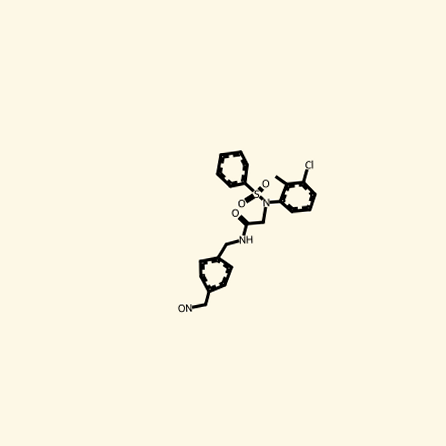 Cc1c(Cl)cccc1N(CC(=O)NCc1ccc(CN=O)cc1)S(=O)(=O)c1ccccc1